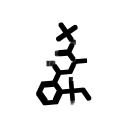 CCC(F)(F)c1ccccc1C(O)CN(C)C(=O)OC(C)(C)C